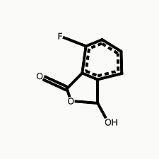 O=C1OC(O)c2cccc(F)c21